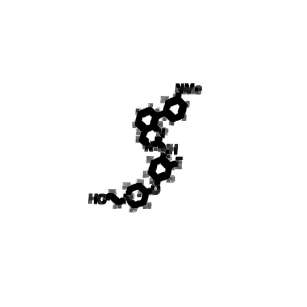 CNc1cccc(-c2cccc3cnc(Nc4ccc(OC5CCN(CCO)CC5)cc4F)nc23)c1